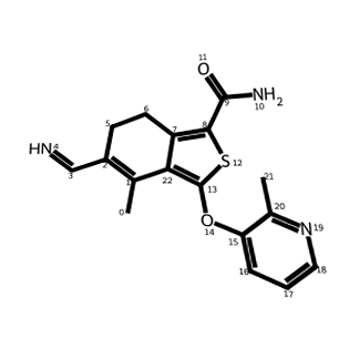 CC1=C(C=N)CCc2c(C(N)=O)sc(Oc3cccnc3C)c21